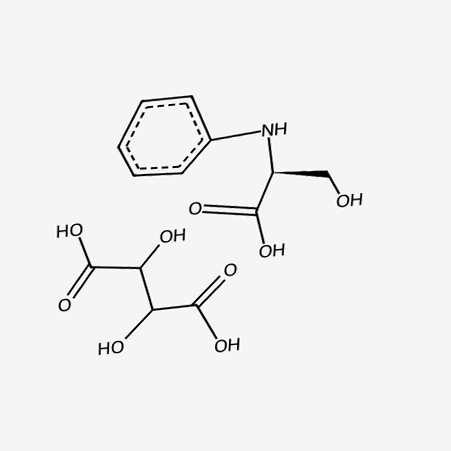 O=C(O)C(O)C(O)C(=O)O.O=C(O)[C@H](CO)Nc1ccccc1